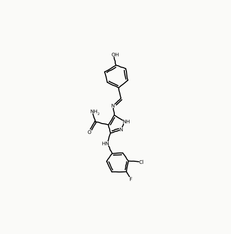 NC(=O)c1c(Nc2ccc(F)c(Cl)c2)n[nH]c1/N=C/c1ccc(O)cc1